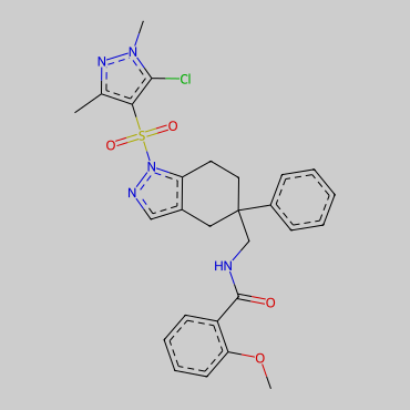 COc1ccccc1C(=O)NCC1(c2ccccc2)CCc2c(cnn2S(=O)(=O)c2c(C)nn(C)c2Cl)C1